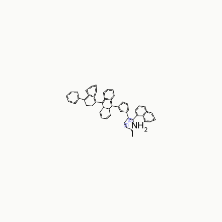 N/C(=C(\C=C/CI)c1cccc(C2=c3ccccc3=C(C3=c4ccccc4=C(c4ccccc4)CC3)C3C=CC=CC23)c1)c1cccc2ccccc12